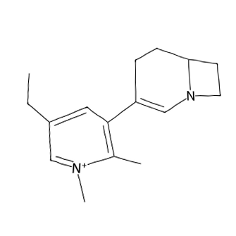 CCc1cc(C2=CN3CCC3CC2)c(C)[n+](C)c1